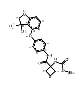 CC(C)(C)OC(=O)NC1(C(=O)Nc2ccc(Oc3cccc4c3C(C)(C)CO4)nc2)CCC1